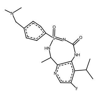 CC(C)c1c(F)cnc2c1NC(=O)N=S(=O)(c1ccc(CN(C)C)cc1)NC2C